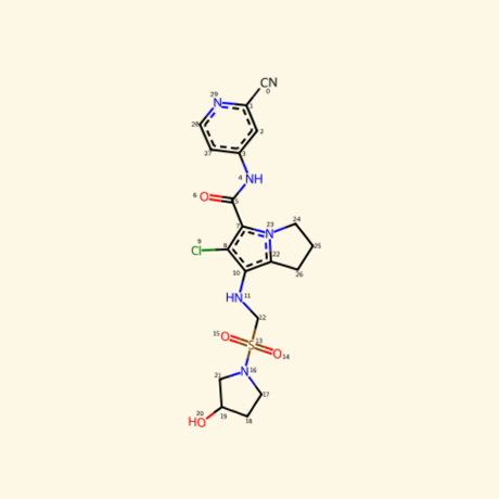 N#Cc1cc(NC(=O)c2c(Cl)c(NCS(=O)(=O)N3CCC(O)C3)c3n2CCC3)ccn1